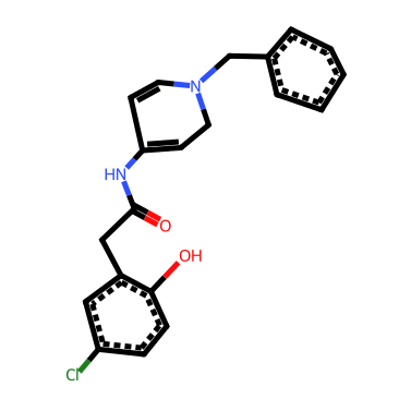 O=C(Cc1cc(Cl)ccc1O)NC1=CCN(Cc2ccccc2)C=C1